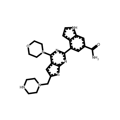 NC(=O)c1cc(-c2nc(N3CCOCC3)c3cc(CN4CCNCC4)sc3n2)c2cc[nH]c2c1